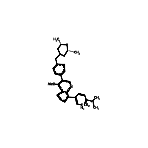 C=C(/C=C\C(=C/C)c1cccc2c(OC)c(-c3ccc(CC4C[C@@H](C)O[C@@H](C)C4)cc3)cnc12)N(C)C